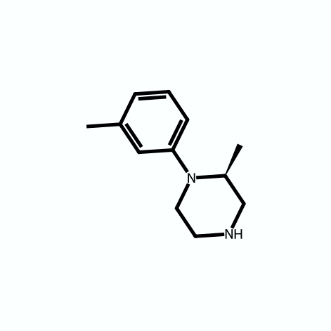 Cc1cccc(N2CCNC[C@@H]2C)c1